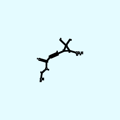 CC1(C)C(C#CC(=O)OCC#N)C1C(=O)O